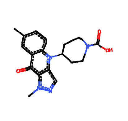 Cc1ccc2c(c1)c(=O)c1c(cnn1C)n2C1CCN(C(=O)O)CC1